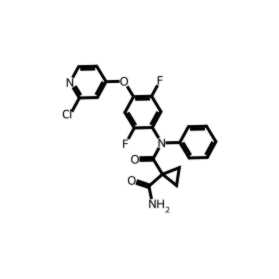 NC(=O)C1(C(=O)N(c2ccccc2)c2cc(F)c(Oc3ccnc(Cl)c3)cc2F)CC1